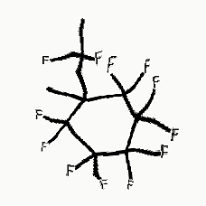 CC(F)(F)C1(C)C(F)(F)C(F)(F)C(F)(F)C(F)(F)C1(F)F